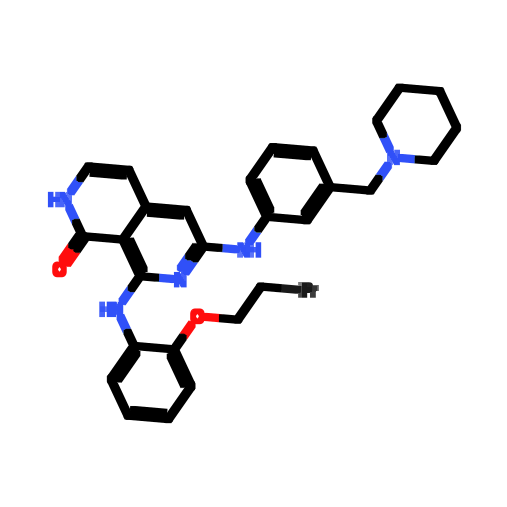 CC(C)CCOc1ccccc1Nc1nc(Nc2cccc(CN3CCCCC3)c2)cc2cc[nH]c(=O)c12